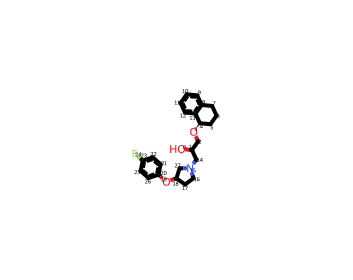 OC(CO[C@H]1CCCc2ccccc21)CN1CCC(Oc2ccc(F)cc2)C1